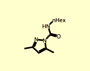 CCCCCCNC(=O)n1nc(C)cc1C